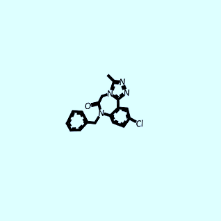 Cc1nnc2n1CC(=O)N(Cc1ccccc1)c1ccc(Cl)cc1-2